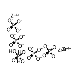 O=P(O)(O)O.O=P([O-])([O-])[O-].O=P([O-])([O-])[O-].O=P([O-])([O-])[O-].O=P([O-])([O-])[O-].[Zr+4].[Zr+4].[Zr+4]